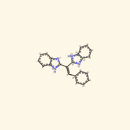 C(=C(c1nc2ccccc2[nH]1)c1nc2ccccc2[nH]1)c1ccccc1